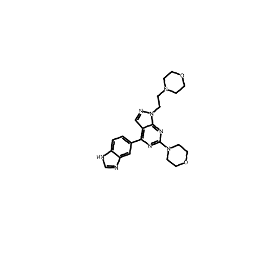 c1nc2cc(-c3nc(N4CCOCC4)nc4c3cnn4CCN3CCOCC3)ccc2[nH]1